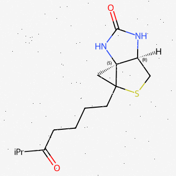 CC(C)C(=O)CCCCC12C[C@@]13NC(=O)N[C@H]3CS2